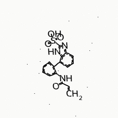 C=CC(=O)Nc1ccccc1-c1cccc2nc(S(=O)(=O)O)[nH]c12